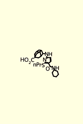 CCCSc1nc(NC2C3CC4CC2CC(C(=O)O)(C4)C3)ccc1C(=O)NC1CCCCC1